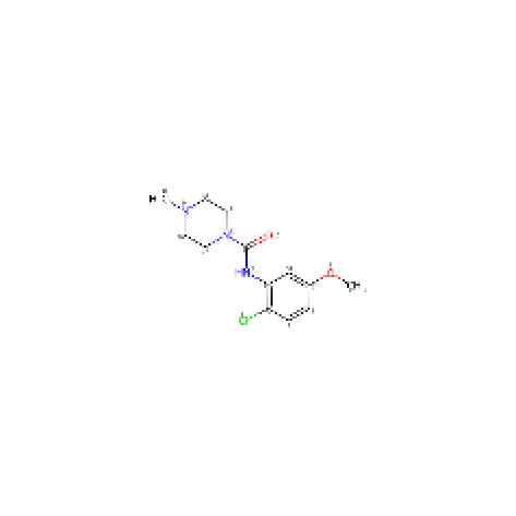 COc1ccc(Cl)c(NC(=O)N2CCN(C)CC2)c1